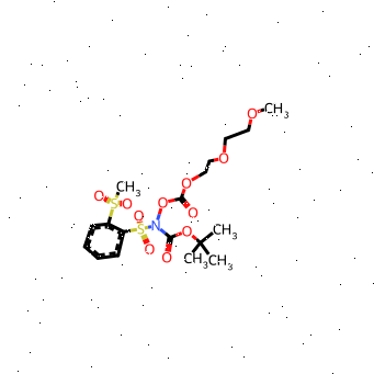 COCCOCCOC(=O)ON(C(=O)OC(C)(C)C)S(=O)(=O)c1ccccc1S(C)(=O)=O